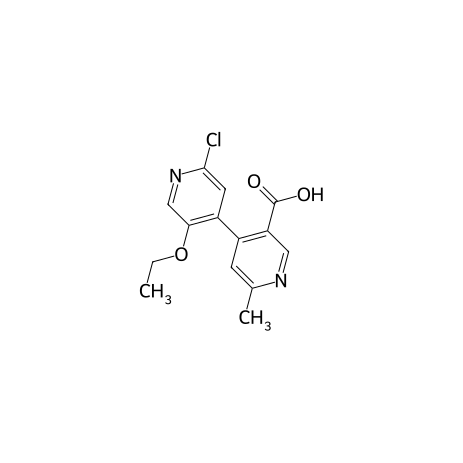 CCOc1cnc(Cl)cc1-c1cc(C)ncc1C(=O)O